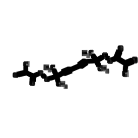 CC(C)(C#CC#CC(C)(C)OOC(=O)C(=O)Cl)OOC(=O)C(=O)Cl